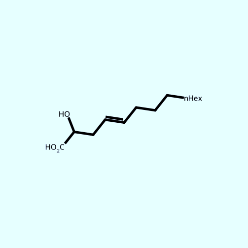 CCCCCCCCC/C=C/CC(O)C(=O)O